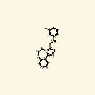 Cc1cccc(NCc2nnc3n2CCOc2cnccc2-3)c1